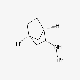 CC(C)NC1C[C@H]2CC[C@@H]1C2